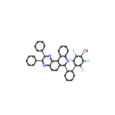 N#Cc1c(F)c(F)c(-c2ccccc2-c2nc3ccccc3c3c2ccc2nc(-c4ccccc4)c(-c4ccccc4)nc23)c(F)c1F